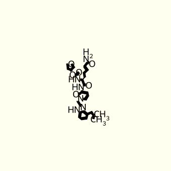 CC(C)Cc1cccc2[nH]c(Cn3cccc(NC(=O)[C@H](CC/C=C/C(N)=O)NC(=O)OC4CCOC4)c3=O)nc12